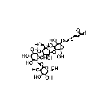 COC(=O)CCSCCO[C@H]1O[C@H](CO)[C@@H](O[C@@H]2O[C@H](CO)[C@@H](O[C@@H]3O[C@H](CO[C@@H]4O[C@H](CO)[C@@H](O)[C@H](O)[C@H]4O)[C@@H](O)[C@H](O)[C@H]3O)[C@H](O)[C@H]2O)[C@H](O)[C@H]1O